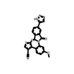 COc1ccc(-c2c(C#N)csc2C)c(N2C(=O)c3ccc(-c4cnn[nH]4)cc3C2=O)c1